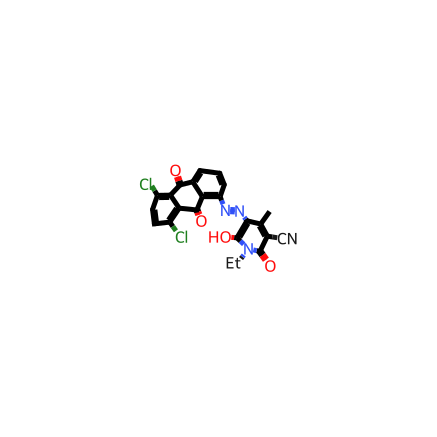 CCn1c(O)c(/N=N/c2cccc3c2C(=O)c2c(Cl)ccc(Cl)c2C3=O)c(C)c(C#N)c1=O